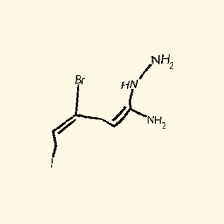 NN/C(N)=C\C(Br)=C/I